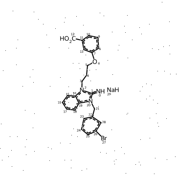 N=c1n(CCCOc2cccc(C(=O)O)c2)c2ccccc2n1Cc1cccc(Br)c1.[NaH]